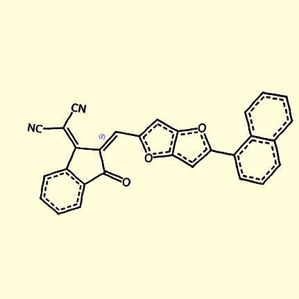 N#CC(C#N)=C1/C(=C/c2cc3oc(-c4cccc5ccccc45)cc3o2)C(=O)c2ccccc21